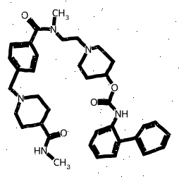 CNC(=O)C1CCN(Cc2ccc(C(=O)N(C)CCN3CCC(OC(=O)Nc4ccccc4-c4ccccc4)CC3)cc2)CC1